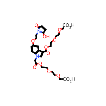 O=C(O)COCCOCCOC(=O)Cn1cc(C(=O)OCCOCCOCC(=O)O)c2cc(OCCN3C(=O)C=CC3O)ccc21